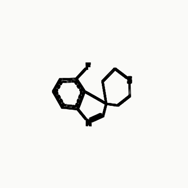 Fc1cccc2c1C1(C=N2)CCSCC1